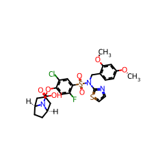 COc1ccc(CN(c2nccs2)S(=O)(=O)c2cc(Cl)c(O[C@H]3C[C@H]4CC[C@@H](C3)N4C(=O)O)cc2F)c(OC)c1